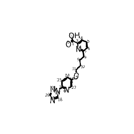 O=C(O)c1cccc(CCCCOc2ccc(-n3cncn3)nc2)n1